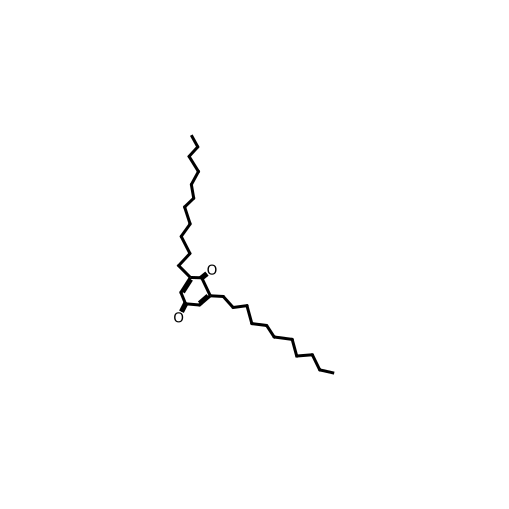 CCCCCCCCCCCC1=CC(=O)C=C(CCCCCCCCCCC)C1=O